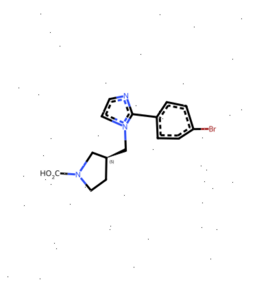 O=C(O)N1CC[C@H](Cn2ccnc2-c2ccc(Br)cc2)C1